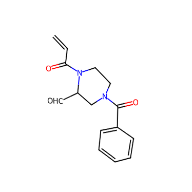 C=CC(=O)N1CCN(C(=O)c2ccccc2)CC1C=O